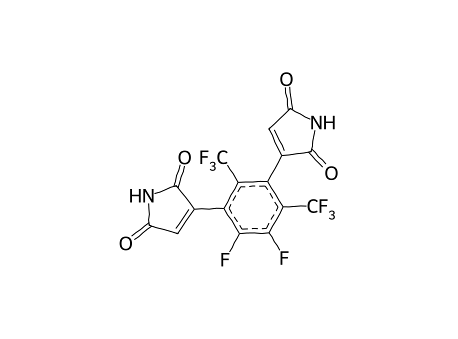 O=C1C=C(c2c(F)c(F)c(C(F)(F)F)c(C3=CC(=O)NC3=O)c2C(F)(F)F)C(=O)N1